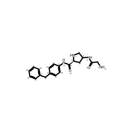 NCC(=O)NC1CN[C@H](C(=O)Nc2ccc(Cc3ccccc3)cc2)C1